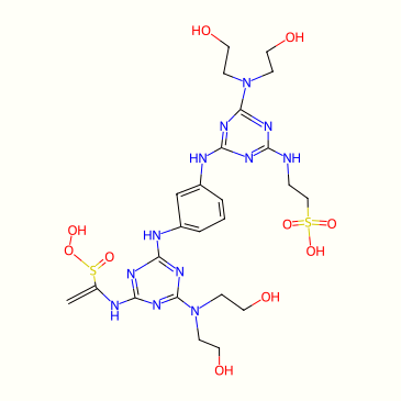 C=C(Nc1nc(Nc2cccc(Nc3nc(NCCS(=O)(=O)O)nc(N(CCO)CCO)n3)c2)nc(N(CCO)CCO)n1)S(=O)OO